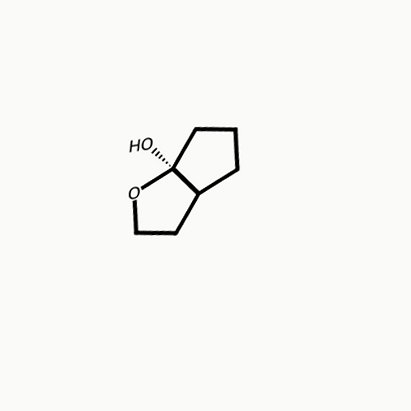 O[C@]12CCCC1CCO2